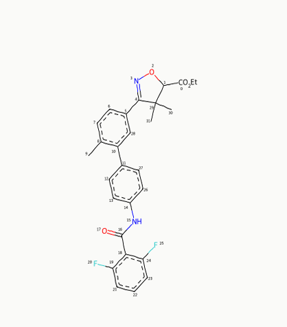 CCOC(=O)C1ON=C(c2ccc(C)c(-c3ccc(NC(=O)c4c(F)cccc4F)cc3)c2)C1(C)C